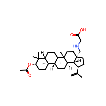 C=C(C)[C@@H]1CC[C@]2(CNCC(=O)O)CC[C@]3(C)[C@H](CC[C@@H]4[C@@]5(C)CC[C@H](OC(C)=O)C(C)(C)[C@@H]5CC[C@]43C)[C@@H]12